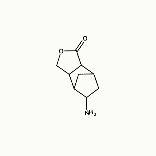 NC1CC2CC1C1COC(=O)C21